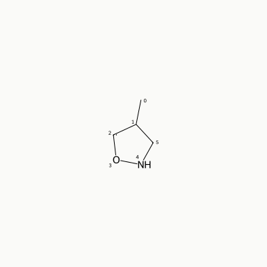 CC1[CH]ONC1